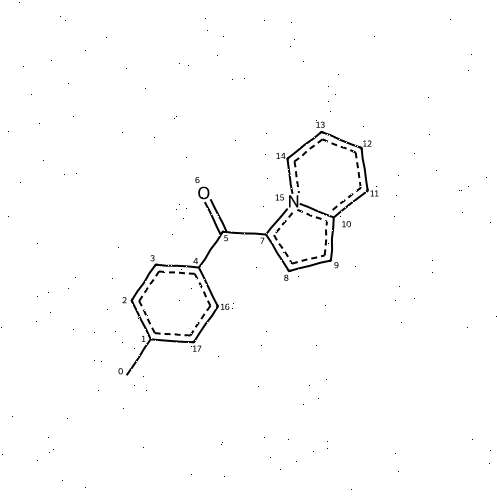 Cc1ccc(C(=O)c2ccc3ccccn23)cc1